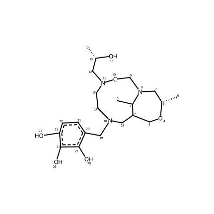 CC1C2CO[C@@H](C)CN1CCN(C[C@H](C)O)CCN(Cc1ccc(O)c(O)c1O)C2